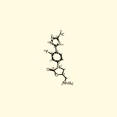 CC(=O)NCC1CN(c2ccc(-c3nnc(C(C)=O)s3)c(F)c2)C(=O)O1